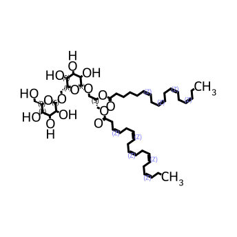 CC/C=C\C/C=C\C/C=C\C/C=C\C/C=C\CC(=O)OC[C@H](CO[C@@H]1O[C@H](CO[C@H]2O[C@H](CO)[C@H](O)C(O)C2O)[C@H](O)C(O)C1O)OC(=O)CCCC/C=C\C/C=C\C/C=C\C/C=C\CC